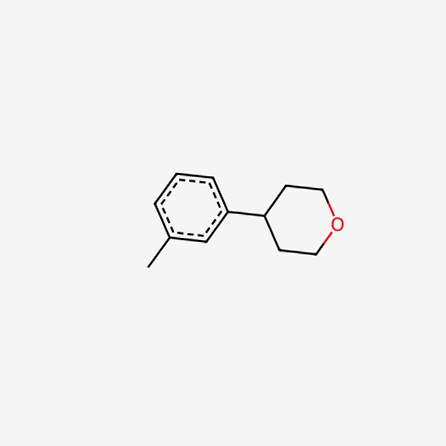 Cc1cccc(C2CCOCC2)c1